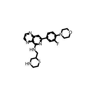 Fc1cc(-c2cc3nccnc3c(NCC3CNCCS3)n2)ccc1N1CCOCC1